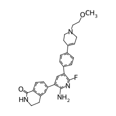 COCCN1CC=C(c2ccc(-c3cc(-c4ccc5c(c4)CCNC5=O)c(N)nc3F)cc2)CC1